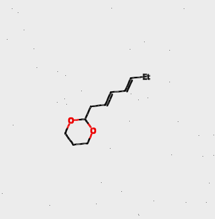 CCC=CC=CCC1OCCCO1